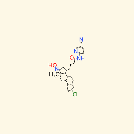 C[C@]12CCC3c4ccc(Cl)cc4CCC3C1[C@H](CCCC(=O)Nc1ccc(C#N)cn1)C/C2=N\O